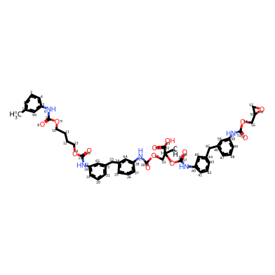 Cc1cccc(NC(=O)OCCCCOC(=O)Nc2cccc(Cc3cccc(NC(=O)OCC(C)(OC(=O)Nc4cccc(Cc5cccc(NC(=O)OCC6CO6)c5)c4)C(=O)O)c3)c2)c1